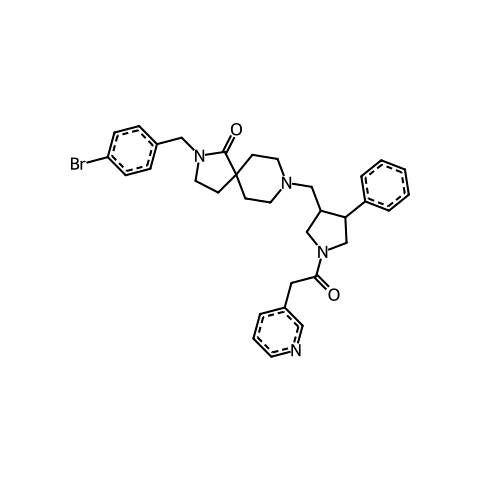 O=C(Cc1cccnc1)N1CC(CN2CCC3(CC2)CCN(Cc2ccc(Br)cc2)C3=O)C(c2ccccc2)C1